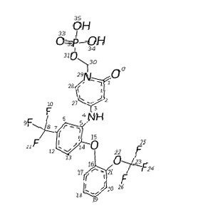 O=c1cc(Nc2cc(C(F)(F)F)ccc2Oc2ccccc2OC(F)(F)F)ccn1COP(=O)(O)O